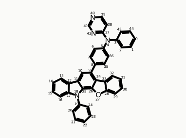 c1ccc(N(c2ccc(-c3cc4c5ccccc5n(-c5ccccc5)c4c4oc5ccccc5c34)cc2)c2ccncn2)cc1